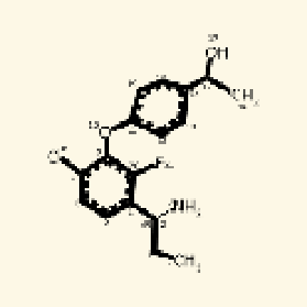 CC[C@@H](N)c1ccc(Cl)c(Oc2ccc(C(C)O)cc2)c1F